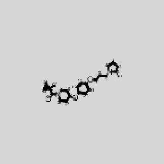 C[C@@H]1CCCN1CCCOc1ccc(OC2CCN(C(=O)C3(C)CC3)CC2)cc1